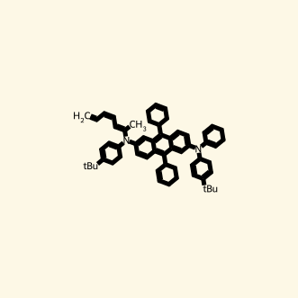 C=C/C=C\C=C(/C)N(C1=CC=C(C(C)(C)C)CC1)c1ccc2c(C3C=CCCC3)c3cc(N(C4=CCCC=C4)C4C=CC(C(C)(C)C)=CC4)ccc3c(C3CC=CCC3)c2c1